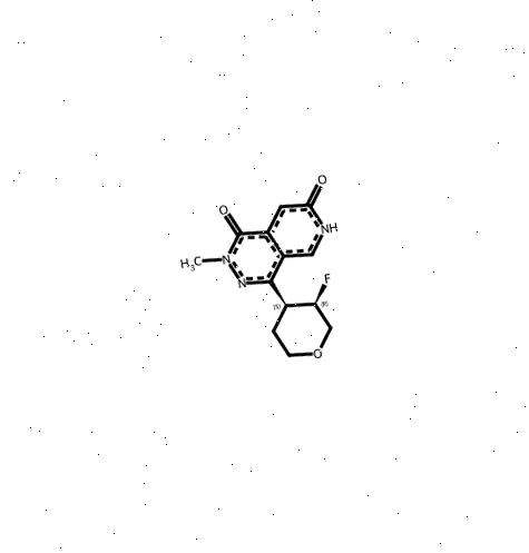 Cn1nc([C@@H]2CCOC[C@@H]2F)c2c[nH]c(=O)cc2c1=O